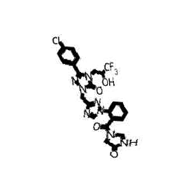 O=C1CN(C(=O)c2ccccc2-n2cnc(Cn3nc(-c4ccc(Cl)cc4)n(CC(O)C(F)(F)F)c3=O)n2)CN1